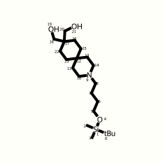 CC(C)(C)[Si](C)(C)OCCCCN1CCC2(CC1)CCC(CO)(CO)CC2